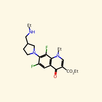 CCNCC1CCN(c2c(F)cc3c(=O)c(C(=O)OCC)cn(CC)c3c2F)C1